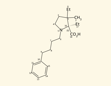 CCC1(C)CCN(CCCCc2ccccc2)[C@]1(CC)C(=O)O